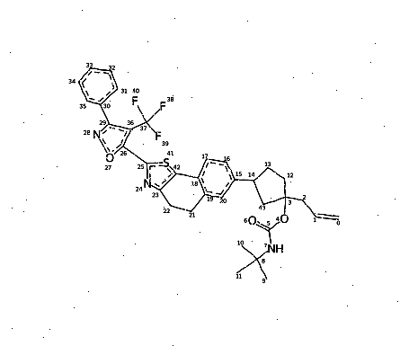 C=CCC1(OC(=O)NC(C)(C)C)CCC(c2ccc3c(c2)CCc2nc(-c4onc(-c5ccccc5)c4C(F)(F)F)sc2-3)C1